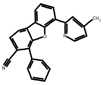 Cc1ccnc(-c2cccc3c2oc2c(-c4ccccc4)c(C#N)ccc23)c1